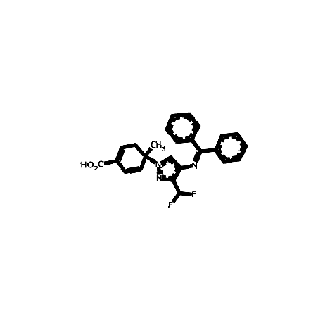 CC1(n2cc(N=C(c3ccccc3)c3ccccc3)c(C(F)F)n2)C=CC(C(=O)O)=CC1